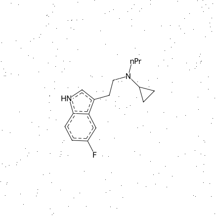 CCCN(CCc1c[nH]c2ccc(F)cc12)C1CC1